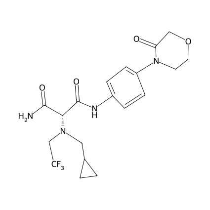 NC(=O)[C@H](C(=O)Nc1ccc(N2CCOCC2=O)cc1)N(CC1CC1)CC(F)(F)F